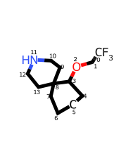 FC(F)(F)COC1CCCCC12CCNCC2